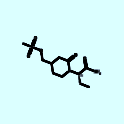 CC[C@@H](C(N)=O)N1CCC(COS(C)(=O)=O)CC1=O